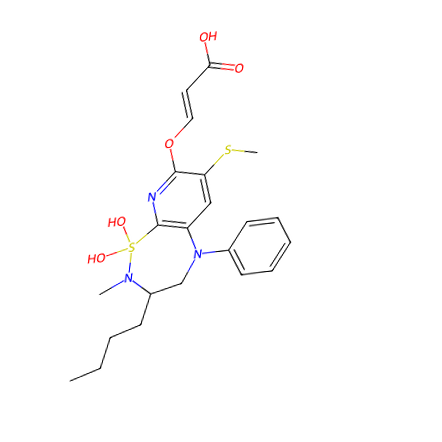 CCCCC1CN(c2ccccc2)c2cc(SC)c(O/C=C/C(=O)O)nc2S(O)(O)N1C